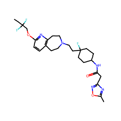 Cc1nc(CC(=O)NC2CCC(F)(CCN3CCc4ccc(OCC(C)(F)F)nc4CC3)CC2)no1